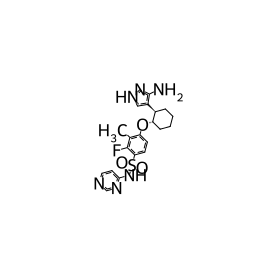 Cc1c(O[C@H]2CCCC[C@@H]2c2c[nH]nc2N)ccc(S(=O)(=O)Nc2ccncn2)c1F